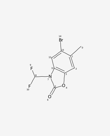 Cc1cc2oc(=O)n(C(F)F)c2cc1Br